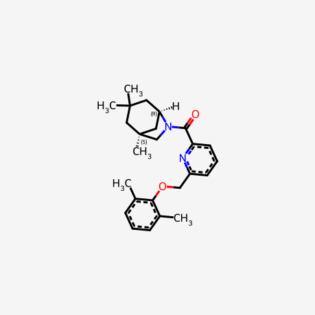 Cc1cccc(C)c1OCc1cccc(C(=O)N2C[C@]3(C)C[C@H]2CC(C)(C)C3)n1